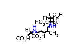 CCC(CC(=O)O)(NCCCC(C)CNC(CC)(C(=O)O)C(CC)(CC)C(=O)O)C(=O)O